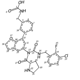 O=C(O)NCc1cccc(-c2cc(N(C(=O)NCc3cccc(Cl)c3F)C(=O)C3CCCN3)cc3ccoc23)c1